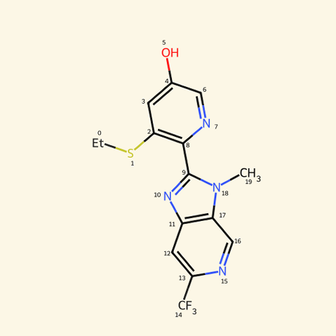 CCSc1cc(O)cnc1-c1nc2cc(C(F)(F)F)ncc2n1C